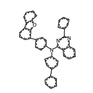 c1ccc(-c2ccc(N(c3ccc(-c4cccc5c4oc4ccccc45)cc3)c3nc(-c4ccccc4)nc4ccccc34)cc2)cc1